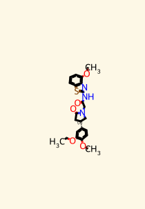 CCOc1cc([C@@H]2CC(=O)N(CC(=O)Nc3nc4c(OC)cccc4s3)C2)ccc1OC